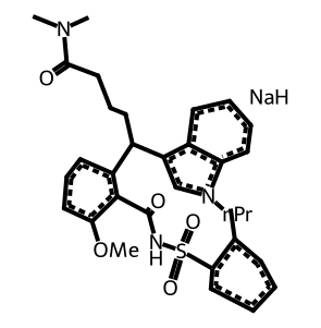 CCCn1cc(C(CCCC(=O)N(C)C)c2cccc(OC)c2C(=O)NS(=O)(=O)c2ccccc2C)c2ccccc21.[NaH]